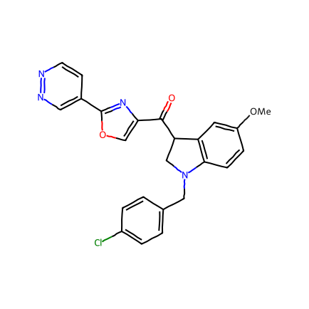 COc1ccc2c(c1)C(C(=O)c1coc(-c3ccnnc3)n1)CN2Cc1ccc(Cl)cc1